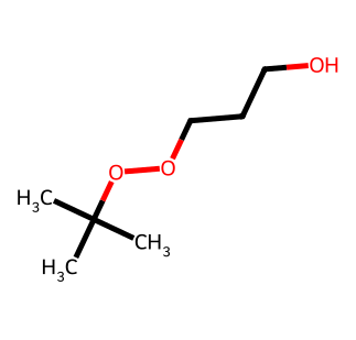 CC(C)(C)OOCCCO